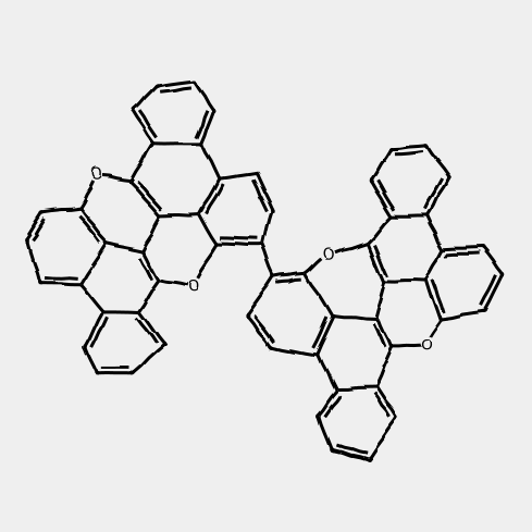 c1ccc2c(c1)c1oc3c(-c4ccc5c6ccccc6c6oc7cccc8c9ccccc9c9oc4c5c6-c9c78)ccc4c5ccccc5c5oc6cccc2c6c1-c5c34